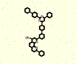 CC(C)(C)c1cc(-c2cccc(-c3ccc(-c4cc(-c5ccccc5)nc(-c5ccc(-c6ccccc6)cc5)n4)cc3)c2)nc2c1ccc1ccc(-c3ccccc3)nc12